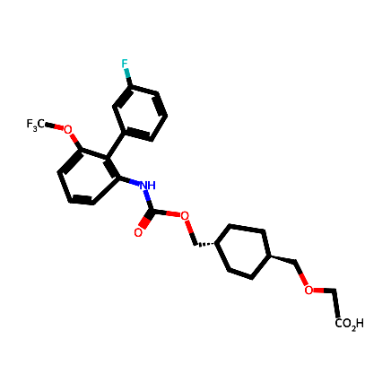 O=C(O)COC[C@H]1CC[C@H](COC(=O)Nc2cccc(OC(F)(F)F)c2-c2cccc(F)c2)CC1